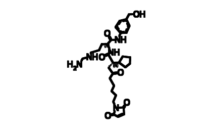 NCNCCC[C@H](NC(=O)[C@@H](CC(=O)CCCCCN1C(=O)C=CC1=O)C1CCCC1)C(=O)Nc1ccc(CO)cc1